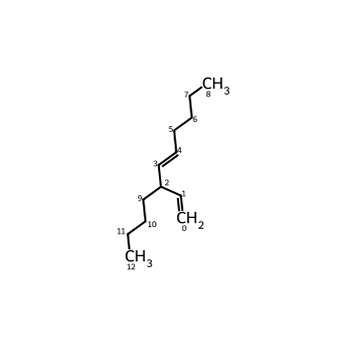 C=CC(/C=C/CCCC)CCCC